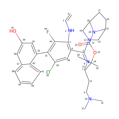 C=CNc1c(/C(=N\CCCN(C)C)N2CC3CCC(C2)N3C(=O)OC(C)(C)C)cc(Cl)c(-c2cc(O)cc3ccccc23)c1F